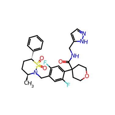 C[C@H]1CC[C@H](c2ccccc2)S(=O)(=O)N1Cc1cc(F)c(C2(C(=O)NCc3ccn[nH]3)CCOCC2)cc1F